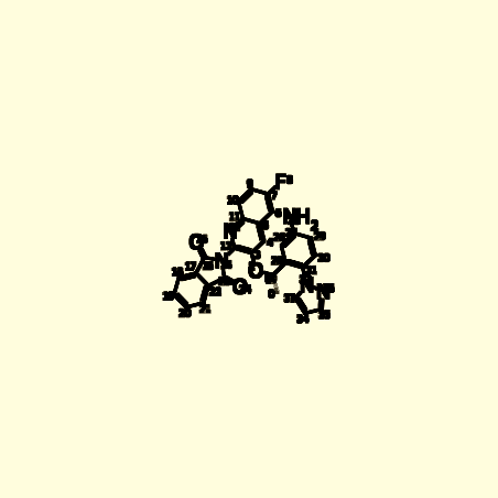 C[C@H](Oc1cc2cc(F)ccc2nc1N1C(=O)c2ccccc2C1=O)c1cc(N)ccc1-n1cccn1